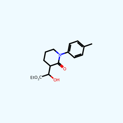 CCOC(=O)C(O)C1CCCN(c2ccc(C)cc2)C1=O